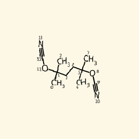 CC(C)(CCC(C)(C)OC#N)OC#N